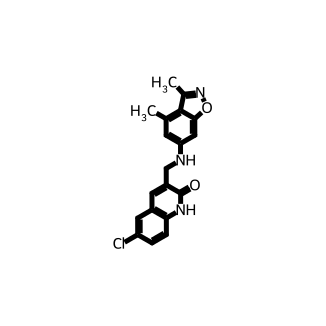 Cc1cc(NCc2cc3cc(Cl)ccc3[nH]c2=O)cc2onc(C)c12